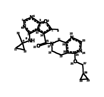 Cc1oc2ncnc(NC3(C)CC3)c2c1C(=O)N1CCc2c(ncnc2OCC2CC2)C1